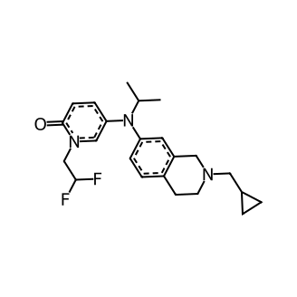 CC(C)N(c1ccc2c(c1)CN(CC1CC1)CC2)c1ccc(=O)n(CC(F)F)c1